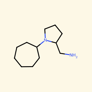 NCC1CCCN1C1CCCCCC1